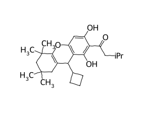 CC(C)CC(=O)c1c(O)cc2c(c1O)C(C1CCC1)C1=C(O2)C(C)(C)CC(C)(C)C1